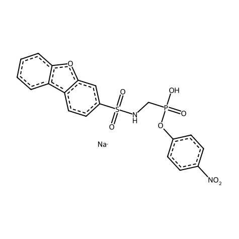 O=[N+]([O-])c1ccc(OP(=O)(O)CNS(=O)(=O)c2ccc3c(c2)oc2ccccc23)cc1.[Na]